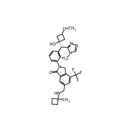 COC1CC(O)([C@@H](c2cccc(N3Cc4c(cc(CNC5(C)CCC5)cc4C(F)(F)F)C3=O)c2)c2nncn2C)C1